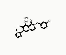 Cl.Cn1ccnc1-c1cn2ccn(Cc3cccc(Cl)c3)c(=O)c2c(O)c1=O